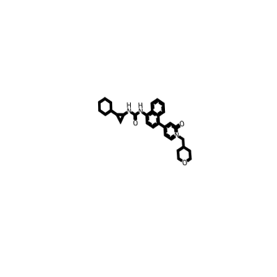 O=C(Nc1ccc(-c2ccn(CC3CCOCC3)c(=O)c2)c2ccccc12)NC1CC1C1CCCCC1